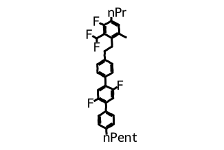 CCCCCc1ccc(-c2cc(F)c(-c3ccc(CCc4c(C)cc(CCC)c(F)c4C(F)F)cc3)cc2F)cc1